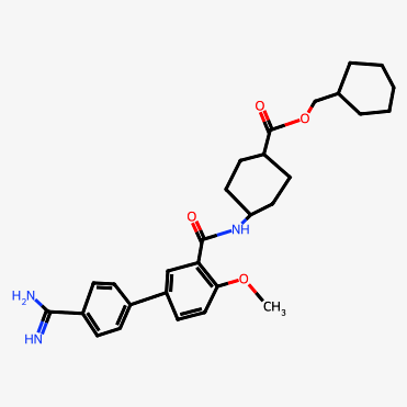 COc1ccc(-c2ccc(C(=N)N)cc2)cc1C(=O)NC1CCC(C(=O)OCC2CCCCC2)CC1